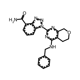 NC(=O)c1cccc2c1nnn2-c1nc2c(c(NCc3ccccc3)n1)CCOC2